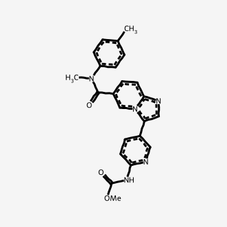 COC(=O)Nc1ccc(-c2cnc3ccc(C(=O)N(C)c4ccc(C)cc4)cn23)cn1